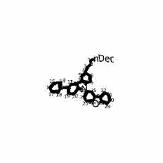 CCCCCCCCCCCCCc1ccc2c(c1)c1cc(-c3ccccc3)ccc1n2-c1ccc2oc3ccccc3c2c1